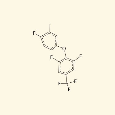 [CH2]c1cc(Oc2c(F)cc(C(F)(F)F)cc2F)ccc1F